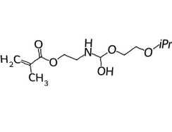 C=C(C)C(=O)OCCNC(O)OCCOC(C)C